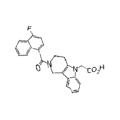 O=C(O)Cn1c2c(c3ccccc31)CN(C(=O)c1ccc(F)c3ccccc13)CC2